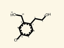 OCCc1ccc(Cl)cc1CO